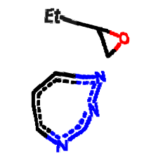 CCC1CO1.c1cnnnc1